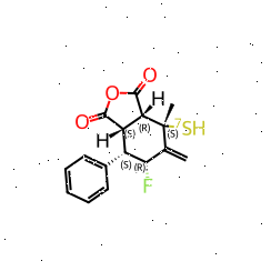 C=C1[C@H](F)[C@H](c2ccccc2)[C@@H]2C(=O)OC(=O)[C@@H]2[C@]1(C)[7SH]